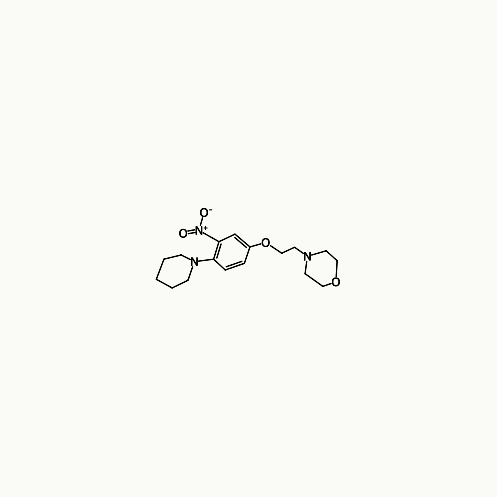 O=[N+]([O-])c1cc(OCCN2CCOCC2)ccc1N1CCCCC1